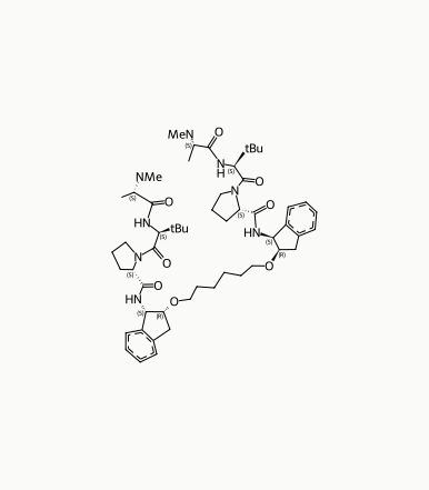 CN[C@@H](C)C(=O)N[C@H](C(=O)N1CCC[C@H]1C(=O)N[C@H]1c2ccccc2C[C@H]1OCCCCCCO[C@@H]1Cc2ccccc2[C@@H]1NC(=O)[C@@H]1CCCN1C(=O)[C@@H](NC(=O)[C@H](C)NC)C(C)(C)C)C(C)(C)C